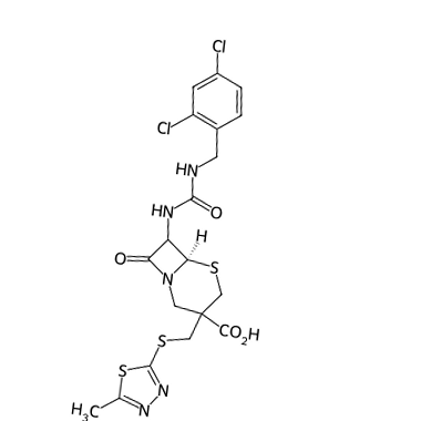 Cc1nnc(SCC2(C(=O)O)CS[C@@H]3C(NC(=O)NCc4ccc(Cl)cc4Cl)C(=O)N3C2)s1